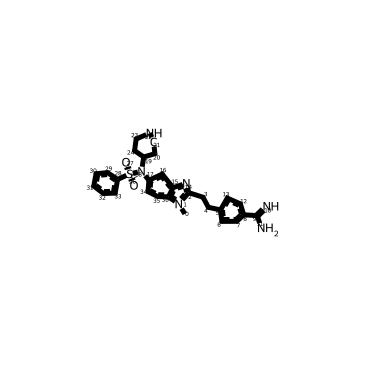 Cn1c(CCc2ccc(C(=N)N)cc2)nc2cc(N(C3CCNCC3)S(=O)(=O)c3ccccc3)ccc21